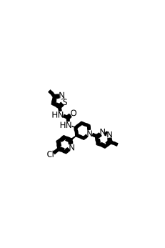 Cc1ccc(N2CC[C@@H](NC(=O)Nc3cc(C)ns3)[C@H](c3ccc(Cl)cn3)C2)nn1